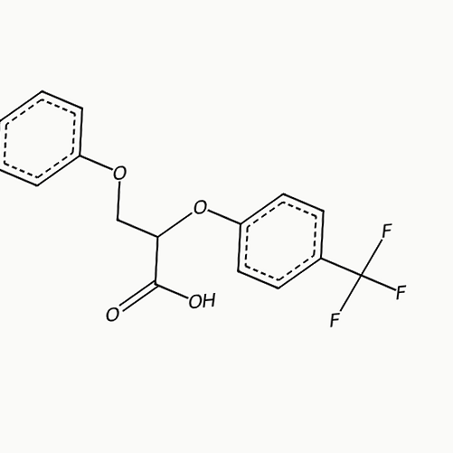 O=C(O)C(COc1ccccc1)Oc1ccc(C(F)(F)F)cc1